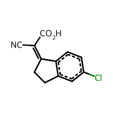 N#CC(C(=O)O)=C1CCc2cc(Cl)ccc21